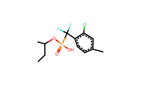 CCC(C)OP(=O)(O)C(F)(F)c1ccc(C)cc1Cl